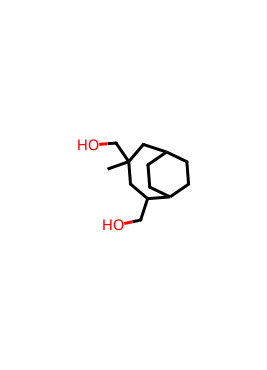 CC1(CO)CC2CCC(CC2)C(CO)C1